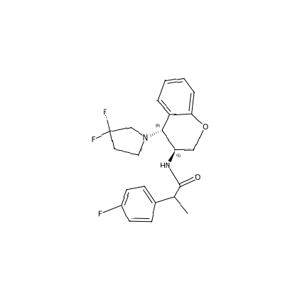 CC(C(=O)N[C@@H]1COc2ccccc2[C@H]1N1CCC(F)(F)C1)c1ccc(F)cc1